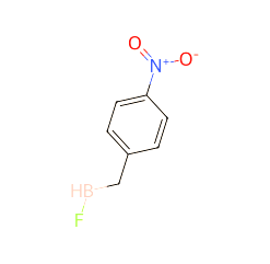 O=[N+]([O-])c1ccc(CBF)cc1